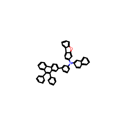 c1ccc(-c2c(-c3ccccc3)c3cc(-c4cccc(N(c5ccc6ccccc6c5)c5ccc6c(c5)oc5ccccc56)c4)ccc3c3ccccc23)cc1